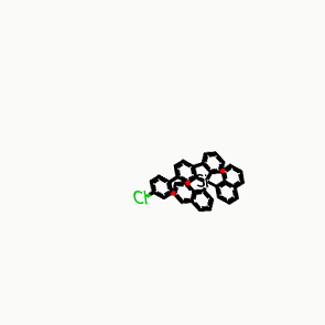 Clc1ccc(-c2ccc3c(c2)[Si](c2cccc4ccccc24)(c2cccc4ccccc24)c2ccccc2-3)cc1